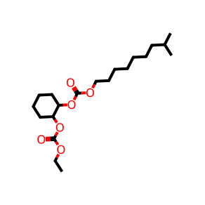 CCOC(=O)OC1CCCCC1OC(=O)OCCCCCCCC(C)C